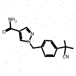 CC(C)(C#N)c1ccc(Cn2cc(C(N)=O)cn2)cc1